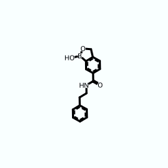 O=C(NCCc1ccccc1)c1ccc2c(c1)B(O)OC2